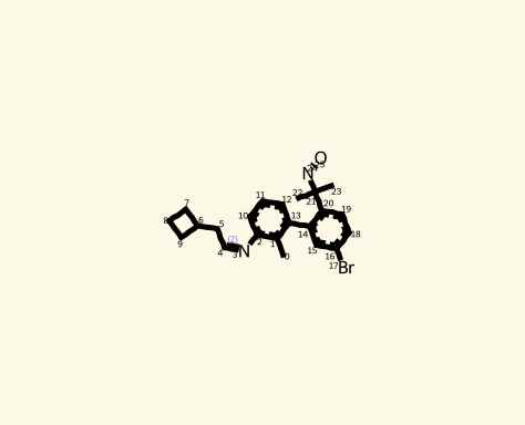 Cc1c(/N=C\CC2CCC2)cccc1-c1cc(Br)ccc1C(C)(C)N=O